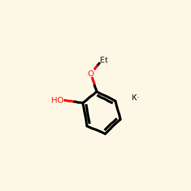 CCOc1ccccc1O.[K]